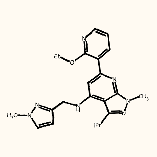 CCOc1ncccc1-c1cc(NCc2ccn(C)n2)c2c(C(C)C)nn(C)c2n1